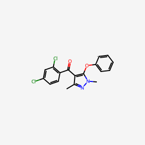 Cc1nn(C)c(Oc2[c]cccc2)c1C(=O)c1ccc(Cl)cc1Cl